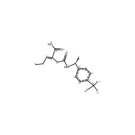 CC/C=C(\CC(=O)N[C@@H](C)c1ccc(C(F)(F)F)cc1)C(=O)O